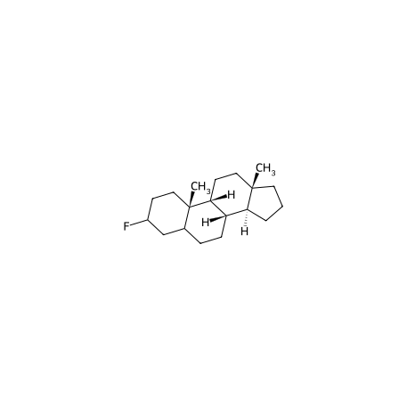 C[C@@]12CCC[C@H]1[C@@H]1CCC3CC(F)CC[C@]3(C)[C@@H]1CC2